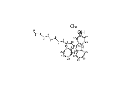 CCCCCCCCC=CC[P+](c1ccccc1)(c1ccccc1)c1cccc(O)c1.[Cl-]